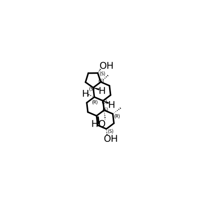 C[C@@H]1C[C@H](O)C=C2CC[C@H]3[C@@H]4CC[C@H](O)[C@@]4(C)CC[C@@H]3[C@]21CO